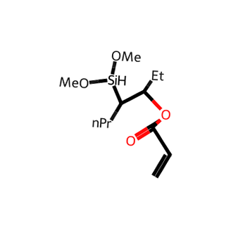 C=CC(=O)OC(CC)C(CCC)[SiH](OC)OC